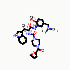 COc1ccc(CN(C)C)cc1NC(=O)[C@H](NC(=O)N1CCN(C(=O)c2ccco2)CC1)[C@@H](C)c1c[nH]c2ccccc12